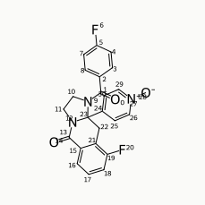 O=C(c1ccc(F)cc1)N1CCN2C(=O)c3cccc(F)c3CC12c1cc[n+]([O-])cc1